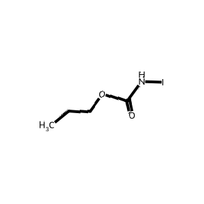 CCCOC(=O)NI